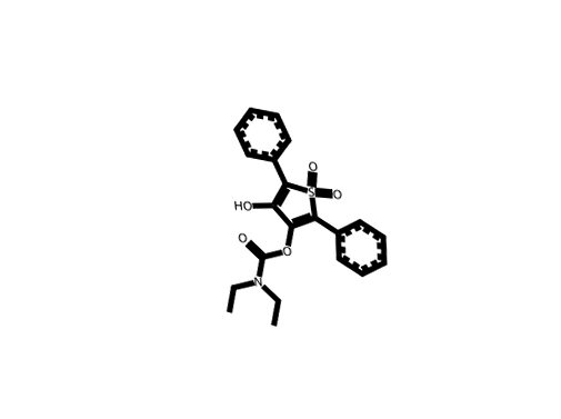 CCN(CC)C(=O)OC1=C(c2ccccc2)S(=O)(=O)C(c2ccccc2)=C1O